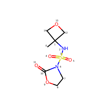 CC1(NS(=O)(=O)N2CCOC2=O)COC1